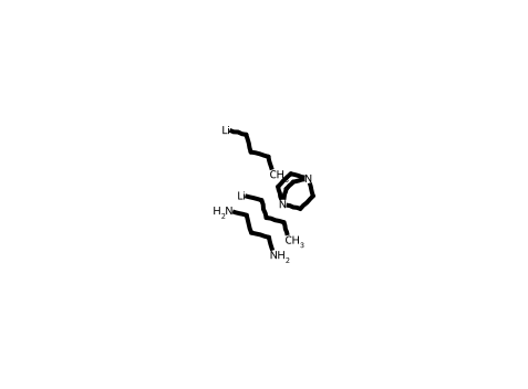 C1CN2CCN1CC2.NCCCN.[Li][CH2]CCC.[Li][CH2]CCC